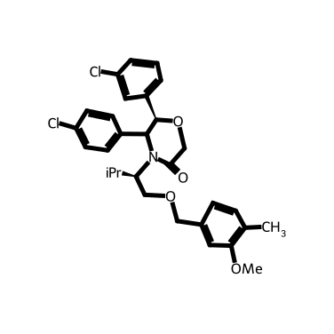 COc1cc(COC[C@@H](C(C)C)N2C(=O)CO[C@H](c3cccc(Cl)c3)C2c2ccc(Cl)cc2)ccc1C